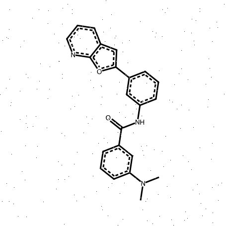 CN(C)c1cccc(C(=O)Nc2cccc(-c3cc4cccnc4o3)c2)c1